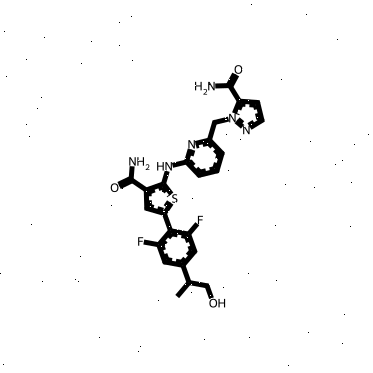 CC(CO)c1cc(F)c(-c2cc(C(N)=O)c(Nc3cccc(Cn4nccc4C(N)=O)n3)s2)c(F)c1